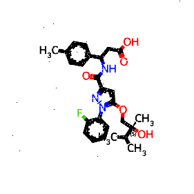 Cc1ccc(C(CC(=O)O)NC(=O)c2cc(OC[C@@](C)(O)C(C)C)n(-c3ccccc3F)n2)cc1